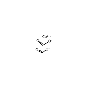 O=C[O-].O=C[O-].[Co+2]